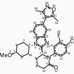 CO[C@H]1CC[C@H](n2c([C@@H]3CCCC(=O)N3c3ccc(Cl)c(F)c3)nc3cc(-c4c(C)noc4C)ccc32)CC1